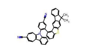 CC1(C)c2ccccc2-c2cc3c(cc21)sc1cccc(-c2cc(C#N)ccc2-n2c4c(c5ccccc52)C=C=C(C#N)C=C4)c13